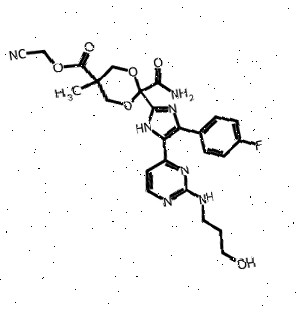 CC1(C(=O)OCC#N)COC(C(N)=O)(c2nc(-c3ccc(F)cc3)c(-c3ccnc(NCCCO)n3)[nH]2)OC1